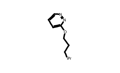 CC(C)CCCOc1cccnn1